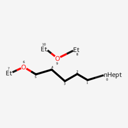 CCCCCCCCCCCCOCC.CCOCC